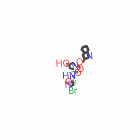 O=C(NC[C@@H]1CC(Br)=NO1)[C@@H]1C[C@@H](O)CN1C(=O)OCc1cnc2ccccc2c1